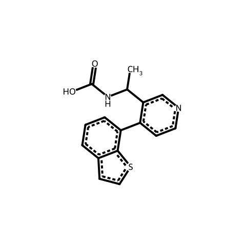 CC(NC(=O)O)c1cnccc1-c1cccc2ccsc12